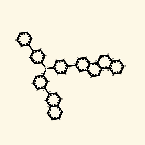 c1ccc(-c2ccc(N(c3ccc(-c4ccc5c(ccc6c7ccccc7ccc56)c4)cc3)c3cccc(-c4ccc5ccccc5c4)c3)cc2)cc1